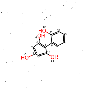 Oc1cc(O)c(-c2ccccc2O)c(O)c1